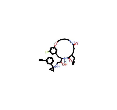 C#CCC1CCC(=O)NCCCCOc2cc(F)cc(c2)CC(C(O)CNC2(c3cccc(C#C)c3)CC2)NC1=O